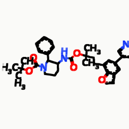 CC(C)(C)OC(=O)N1CCCC(NC(=O)OC(C)(C)CCc2cc(-c3cncnc3)cc3ccoc23)C1c1ccccc1